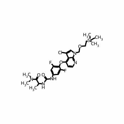 CC(NC(=O)Nc1cc(F)c(Oc2ccnc3c2c(Cl)cn3COCC[Si](C)(C)C)c(F)c1)C(=O)N(C)C